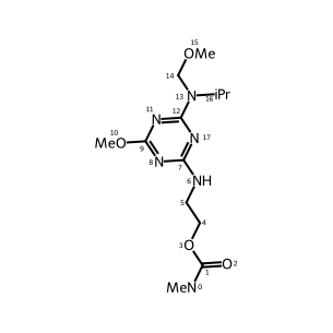 CNC(=O)OCCNc1nc(OC)nc(N(COC)C(C)C)n1